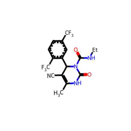 CCNC(=O)N1C(=O)NC(C)=C(C#N)C1c1cc(C(F)(F)F)ccc1C(F)(F)F